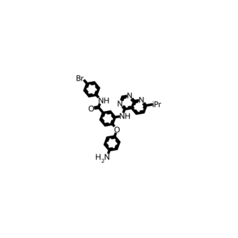 CC(C)c1ccc2c(Nc3cc(C(=O)Nc4ccc(Br)cc4)ccc3Oc3ccc(N)cc3)ncnc2n1